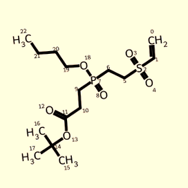 C=CS(=O)(=O)CCP(=O)(CCC(=O)OC(C)(C)C)OCCCC